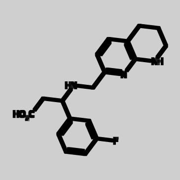 O=C(O)CC(NCc1ccc2c(n1)NCCC2)c1cccc(F)c1